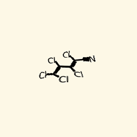 N#C/C(Cl)=C(\Cl)C(Cl)=C(Cl)Cl